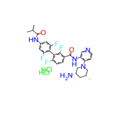 CC(C)C(=O)Nc1cc(F)c(-c2c(F)ccc(C(=O)Nc3cnccc3N3C[C@H](C)C[C@H](N)C3)c2F)c(F)c1.Cl.Cl